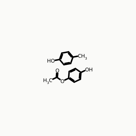 CC(=O)Oc1ccc(O)cc1.Cc1ccc(O)cc1